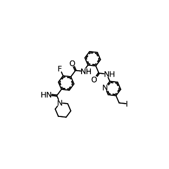 N=C(c1ccc(C(=O)Nc2ccccc2C(=O)Nc2ccc(CI)cn2)c(F)c1)N1CCCCC1